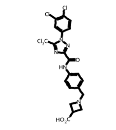 O=C(Nc1ccc(CN2CC(C(=O)O)C2)cc1)c1nc(C(Cl)(Cl)Cl)n(-c2ccc(Cl)c(Cl)c2)n1